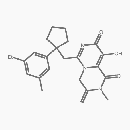 C=C1Cn2c(CC3(c4cc(C)cc(CC)c4)CCCC3)nc(=O)c(O)c2C(=O)N1C